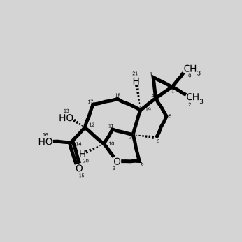 CC1(C)CC12CC[C@]13CO[C@H](C1)[C@@](O)(C(=O)O)CC[C@@H]23